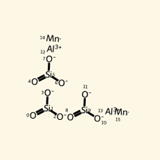 O=[Si]([O-])[O-].O=[Si]([O-])[O-].O=[Si]([O-])[O-].[Al+3].[Al+3].[Mn].[Mn]